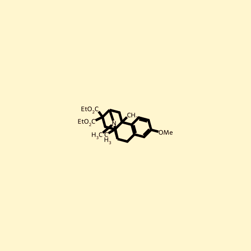 CCOC(=O)C1(C(=O)OCC)CC2(C)C3Cc4cc(OC)ccc4C2(C)CC1N3C